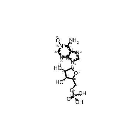 Nc1c2ncn([C@@H]3OC(COP(=O)(O)O)[C@@H](O)[C@H]3O)c2nc[n+]1[O-]